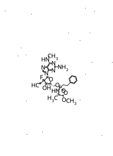 C#C[C@@]1(F)[C@H](O)[C@@H](COP(=O)(CCc2ccccc2)N[C@@H](C)C(=O)OC)O[C@H]1n1cnc2c(NC)nc(N)nc21